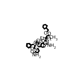 CCC(CC)(CC(C)OC(=O)CC1CCCCC1)C(=O)N=C(N)N1CCC(CN([C@H](Cc2ccccc2)C(=O)N2CCC[C@H]2C(N)=O)S(C)(=O)=O)CC1